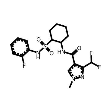 Cn1cc(C(=O)NC2CCCCC2S(=O)(=O)Nc2ccccc2F)c(C(F)F)n1